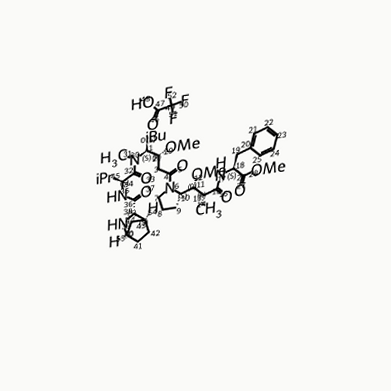 CC[C@H](C)[C@@H]([C@@H](CC(=O)N1CCC[C@H]1[C@H](OC)[C@@H](C)C(=O)N[C@@H](Cc1ccccc1)C(=O)OC)OC)N(C)C(=O)[C@@H](NC(=O)[C@H]1N[C@@H]2CC[C@H]1C2)C(C)C.O=C(O)C(F)(F)F